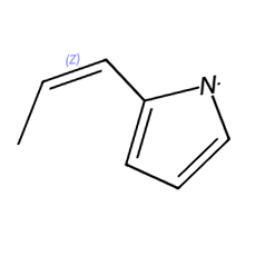 C/C=C\C1=CC=C[N]1